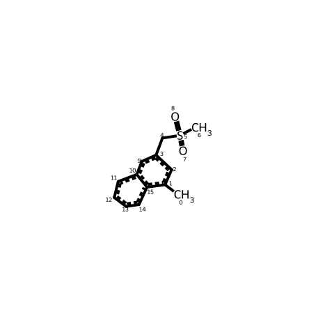 Cc1cc(CS(C)(=O)=O)cc2ccccc12